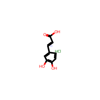 Cl.O=C(O)/C=C/c1ccc(O)c(O)c1